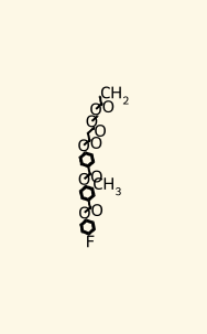 C=CC(=O)OCOC(=O)CC(=O)Oc1ccc(C(=O)Oc2ccc(C(=O)Oc3ccc(F)cc3)cc2C)cc1